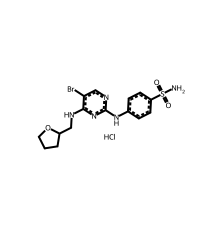 Cl.NS(=O)(=O)c1ccc(Nc2ncc(Br)c(NCC3CCCO3)n2)cc1